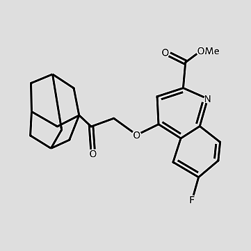 COC(=O)c1cc(OCC(=O)C23CC4CC(CC(C4)C2)C3)c2cc(F)ccc2n1